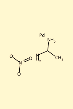 CC(N)N.O=[N+]([O-])[O-].[Pd]